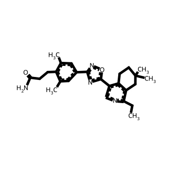 CCc1ncc(-c2nc(-c3cc(C)c(CCC(N)=O)c(C)c3)no2)c2c1CC(C)(C)CC2